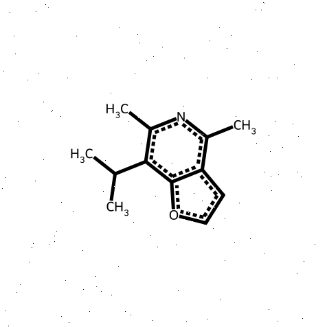 Cc1nc(C)c2ccoc2c1C(C)C